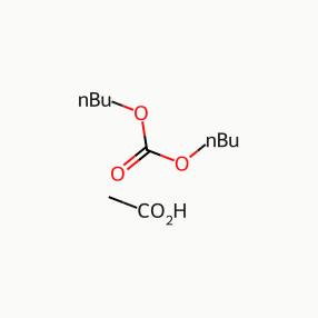 CC(=O)O.CCCCOC(=O)OCCCC